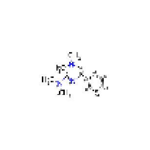 CN(C)C=NC(=CN(C)C)c1ccccc1